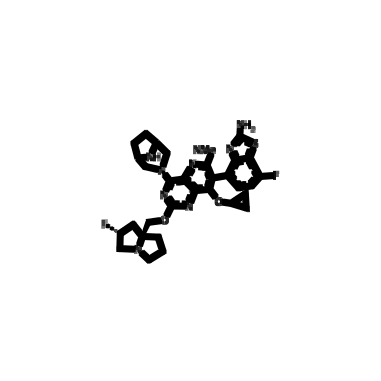 CNc1nc2c(N3CC4CCC(C3)N4)nc(OC[C@@]34CCCN3C[C@H](F)C4)nc2c(OC2CC2)c1-c1ccc(F)c2sc(N)nc12